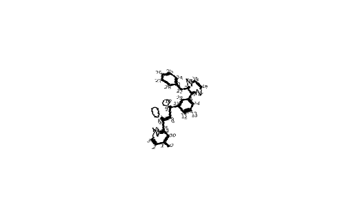 Cc1ccnc(C(=O)CC(=O)c2cccc(-c3nccnc3Cc3ccccc3)c2)c1